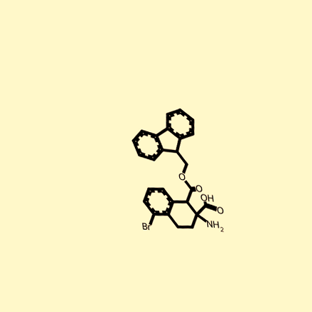 NC1(C(=O)O)CCc2c(Br)cccc2C1C(=O)OCC1c2ccccc2-c2ccccc21